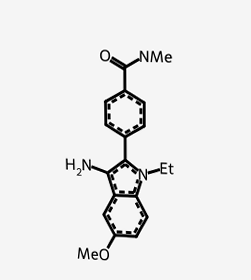 CCn1c(-c2ccc(C(=O)NC)cc2)c(N)c2cc(OC)ccc21